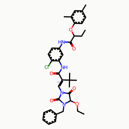 CCOC1C(=O)N(/C=C(/C(=O)Nc2cc(NC(=O)C(CC)Oc3ccc(C)cc3C)ccc2Cl)C(C)(C)C)C(=O)N1Cc1ccccc1